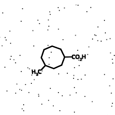 CC1CCCCC(C(=O)O)CC1